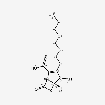 C[C@@H]1C(CCSCOCCN)=C(C(=O)O)N2C(=O)C[C@@H]12